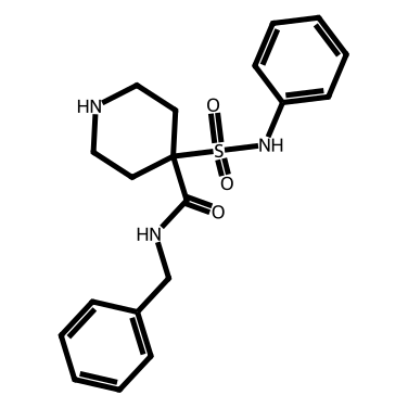 O=C(NCc1ccccc1)C1(S(=O)(=O)Nc2ccccc2)CCNCC1